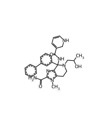 CC(O)CN1CCc2c(nc(C(N)=O)n2C)C1(NC(=O)C1=CC=CNC1)c1cccc(-c2ccccc2)c1